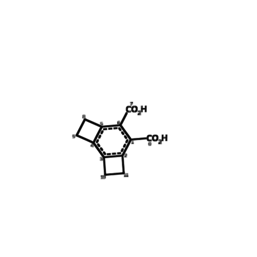 O=C(O)c1c2c(c3c(c1C(=O)O)CC3)CC2